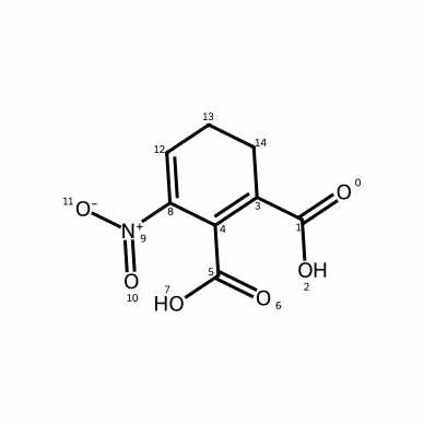 O=C(O)C1=C(C(=O)O)C([N+](=O)[O-])=CCC1